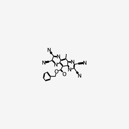 Cc1c2nc(C#N)c(C#N)nc2c(C(=O)OCc2ccccc2)c2nc(C#N)c(C#N)nc12